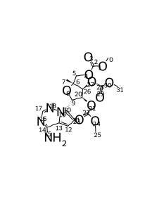 COC(=O)OC[C@@]1(C)O[C@@H](c2ccc3c(N)ncnn23)[C@H](OC(=O)OC)[C@@H]1OC(=O)OC